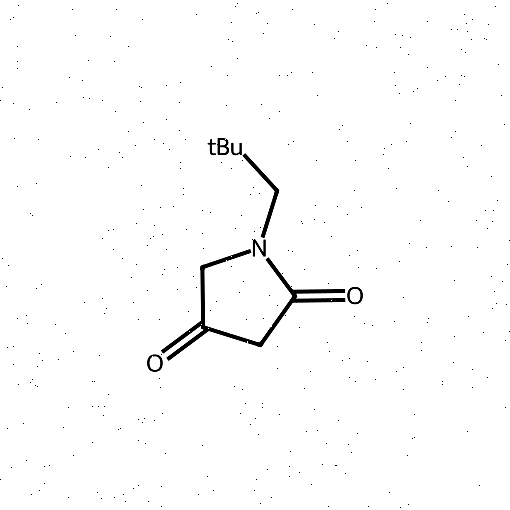 CC(C)(C)CN1CC(=O)CC1=O